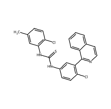 Cc1ccc(Cl)c(NC(=S)Nc2ccc(Cl)c(-c3nccc4ccccc34)c2)c1